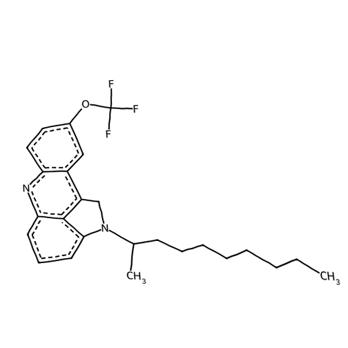 CCCCCCCCC(C)N1Cc2c3cc(OC(F)(F)F)ccc3nc3cccc1c23